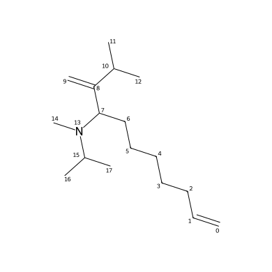 C=CCCCCCC(C(=C)C(C)C)N(C)C(C)C